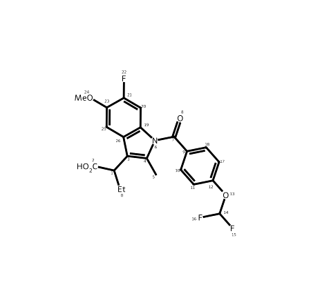 CCC(C(=O)O)c1c(C)n(C(=O)c2ccc(OC(F)F)cc2)c2cc(F)c(OC)cc12